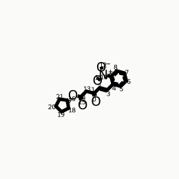 O=C(C=Cc1ccccc1[N+](=O)[O-])CC(=O)OC1CCCC1